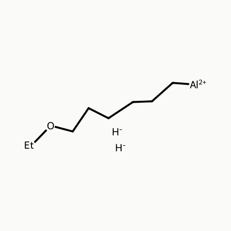 CCOCCCCC[CH2][Al+2].[H-].[H-]